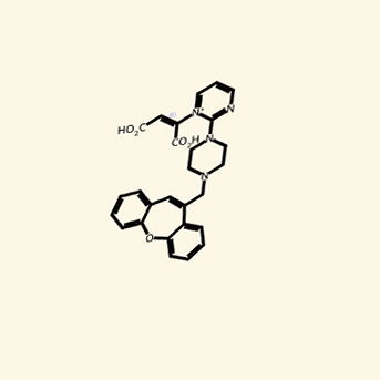 O=C(O)/C=C(\C(=O)O)[n+]1cccnc1N1CCN(CC2=Cc3ccccc3Oc3ccccc32)CC1